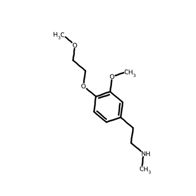 CNCCc1ccc(OCCOC)c(OC)c1